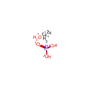 O.O=[PH](O)O.[CaH2].[Zn]